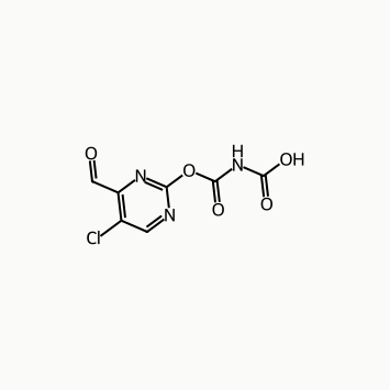 O=Cc1nc(OC(=O)NC(=O)O)ncc1Cl